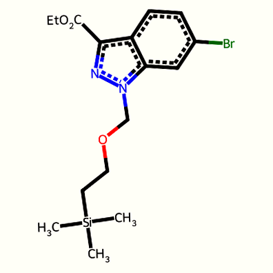 CCOC(=O)c1nn(COCC[Si](C)(C)C)c2cc(Br)ccc12